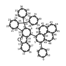 c1ccc(-c2cc(-c3cc4c(c5oc6ccccc6c35)-c3ccccc3C4(c3ccccc3)c3ccccc3)c3ccc4cccc5ccc2c3c54)cc1